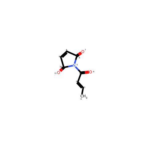 CC=CC(=O)N1C(=O)C=CC1=O